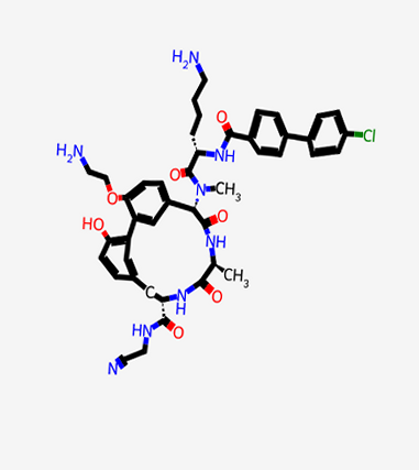 C[C@@H]1NC(=O)[C@@H](N(C)C(=O)[C@H](CCCCN)NC(=O)c2ccc(-c3ccc(Cl)cc3)cc2)c2ccc(OCCN)c(c2)-c2cc(ccc2O)C[C@@H](C(=O)NCC#N)NC1=O